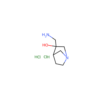 Cl.Cl.NCC1(O)CN2CCC1C2